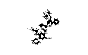 [2H]C([2H])([2H])N(Cc1cn(-c2ccnc(Nc3cc(NC(=O)C=C)c(N4CCOCC4)cc3OC)n2)nc1-c1ccccc1)C([2H])([2H])[2H]